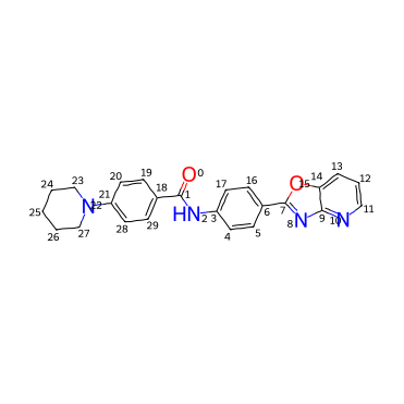 O=C(Nc1ccc(-c2nc3ncccc3o2)cc1)c1ccc(N2CCCCC2)cc1